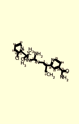 C=C/C(=C\N=C(/N)NC(C)(C)c1ncccc1Cl)c1cc(C(N)=O)ccn1